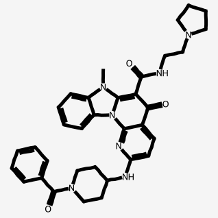 Cn1c2ccccc2n2c3nc(NC4CCN(C(=O)c5ccccc5)CC4)ccc3c(=O)c(C(=O)NCCN3CCCC3)c12